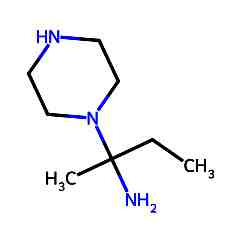 CCC(C)(N)N1CCNCC1